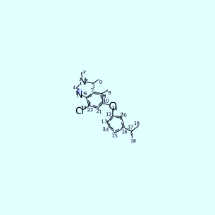 CCN(C)/C=N\c1cc(C)c(Oc2cccc(C(C)C)c2)cc1Cl